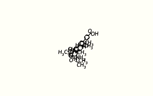 C=C(C)[C@@H]1CC[C@]2(C(=O)N(N)CC(C)C)CC[C@]3(C)[C@H](CC[C@@H]4[C@@]5(C)CC=C(c6ccc(C(=O)O)cc6)C(C)(C)[C@@H]5CC[C@]43C)[C@@H]12